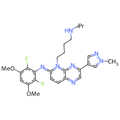 COc1cc(OC)c(F)c(/N=c2\ccc3ncc(-c4cnn(C)c4)nc3n2CCCCNC(C)C)c1F